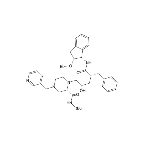 CCO[C@@H]1Cc2ccccc2[C@@H]1NC(=O)[C@H](Cc1ccccc1)C[C@H](O)CN1CCN(Cc2cccnc2)C[C@H]1C(=O)NC(C)(C)C